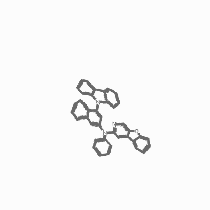 c1ccc(N(c2cc(-n3c4ccccc4c4ccccc43)c3ccccc3c2)c2cc3c(cn2)oc2ccccc23)cc1